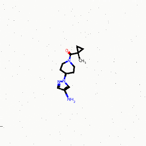 CC1(C(=O)N2CCC(n3cc(N)cn3)CC2)CC1